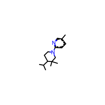 Cc1ccc(N2CCC(C(C)C)C(C)(C)C2)nc1